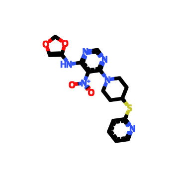 O=[N+]([O-])c1c(NC2=COCO2)ncnc1N1CCC(Sc2ccccn2)CC1